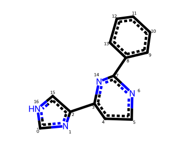 [c]1nc(-c2ccnc(-c3ccccc3)n2)c[nH]1